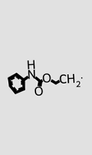 [CH2]COC(=O)Nc1ccccc1